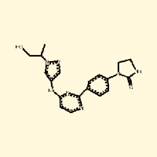 CC(CO)n1cc(Nc2ccnc(-c3ccc(N4CCNC4=O)cc3)n2)cn1